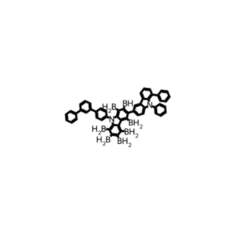 Bc1c(B)c(B)c2c(c1B)c1c(B)c(-c3ccc4c(c3)c3cccc(-c5ccccc5)c3n4-c3ccccc3)c(B)c(B)c1n2-c1ccc(-c2cccc(-c3ccccc3)c2)cc1